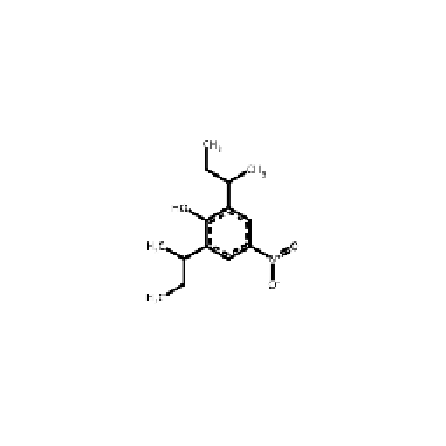 CCC(C)c1cc([N+](=O)[O-])cc(C(C)CC)c1O